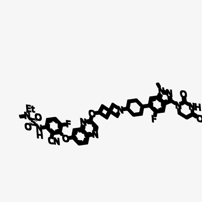 CCN(C)S(=O)(=O)Nc1ccc(F)c(Oc2ccc3ncc(OC4CC5(C4)CN(C4CCC(c6cc7c(cc6F)c(N6CCC(=O)NC6=O)nn7C)CC4)C5)nc3c2)c1C#N